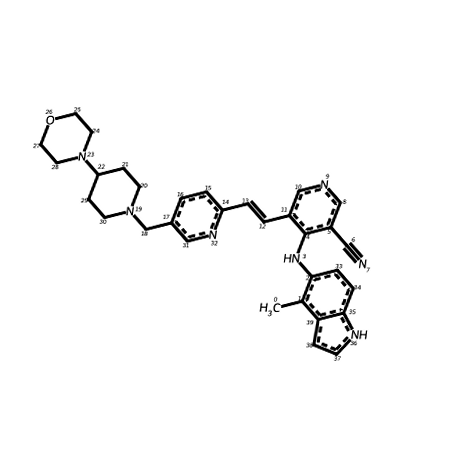 Cc1c(Nc2c(C#N)cncc2C=Cc2ccc(CN3CCC(N4CCOCC4)CC3)cn2)ccc2[nH]ccc12